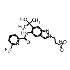 CC(C)(O)c1cc2nn(CC[SH](=O)=O)cc2cc1NC(=O)c1cccc(C(F)(F)F)n1